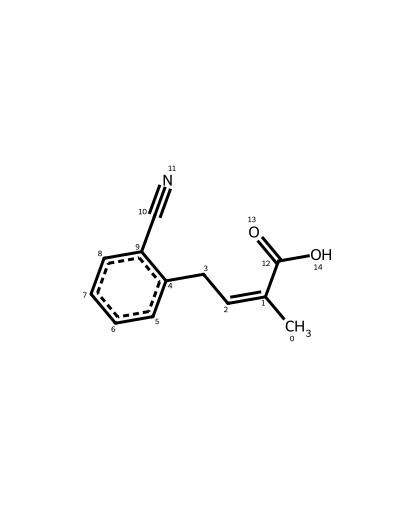 CC(=CCc1ccccc1C#N)C(=O)O